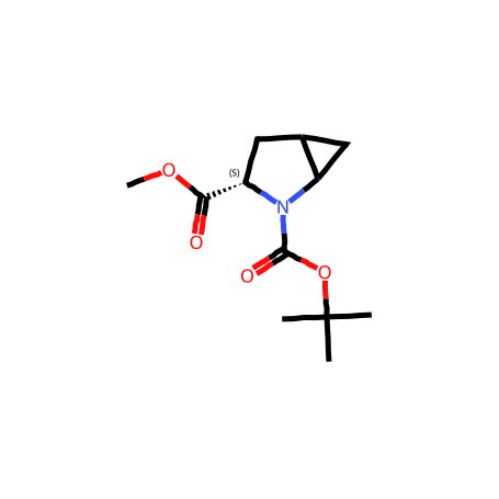 COC(=O)[C@@H]1CC2CC2N1C(=O)OC(C)(C)C